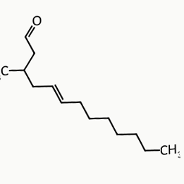 CCCCCCCC=CCC(C)CC=O